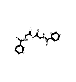 O=C(CNC(Cl)c1ccccc1)OC(=O)CNC(Cl)c1ccccc1